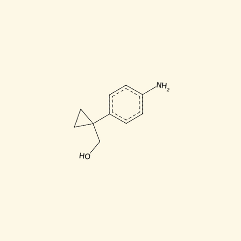 Nc1ccc(C2(CO)CC2)cc1